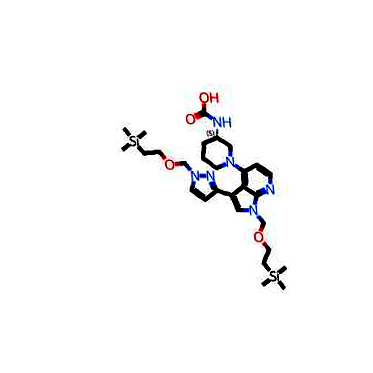 C[Si](C)(C)CCOCn1ccc(-c2cn(COCC[Si](C)(C)C)c3nccc(N4CCC[C@H](NC(=O)O)C4)c23)n1